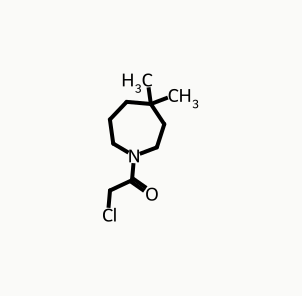 CC1(C)CCCN(C(=O)CCl)CC1